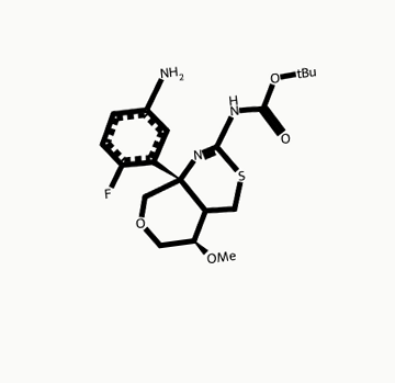 CO[C@H]1COC[C@]2(c3cc(N)ccc3F)N=C(NC(=O)OC(C)(C)C)SCC12